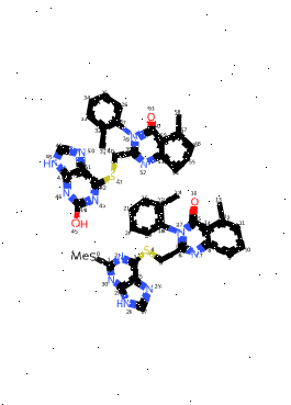 CSc1nc(SCc2nc3cccc(C)c3c(=O)n2-c2ccccc2C)c2nc[nH]c2n1.Cc1ccccc1-n1c(CSc2nc(O)nc3[nH]cnc23)nc2cccc(C)c2c1=O